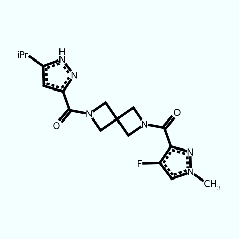 CC(C)c1cc(C(=O)N2CC3(C2)CN(C(=O)c2nn(C)cc2F)C3)n[nH]1